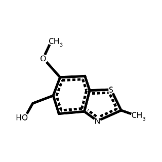 COc1cc2sc(C)nc2cc1CO